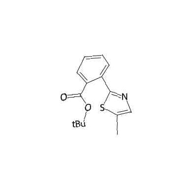 Cc1cnc(-c2ccccc2C(=O)OC(C)(C)C)s1